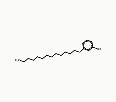 CCCCCCCCCCCCCNc1cccc(O)c1